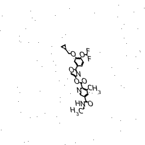 CCNC(=O)c1cnc(C(=O)Oc2coc(-c3ccc(OC(F)F)c(OCC4CC4)c3)n2)c(C)c1